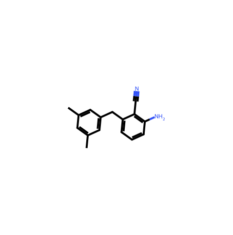 Cc1cc(C)cc(Cc2cccc(N)c2C#N)c1